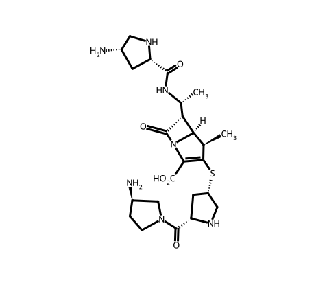 C[C@@H](NC(=O)[C@@H]1C[C@H](N)CN1)[C@H]1C(=O)N2C(C(=O)O)=C(S[C@@H]3CN[C@H](C(=O)N4CC[C@@H](N)C4)C3)[C@H](C)[C@H]12